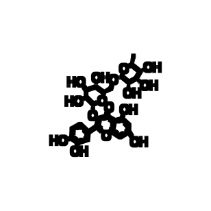 C[C@@H]1O[C@@H](OC[C@H]2O[C@@H](Oc3c(-c4ccc(O)c(O)c4)oc4cc(O)cc(O)c4c3=O)[C@@H](O)C(O)[C@@H]2O)[C@@H](O)[C@@H](O)[C@H]1O